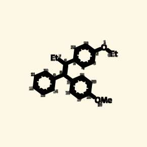 [CH2]COc1ccc(C(CC)=C(c2ccccc2)c2ccc(OC)cc2)cc1